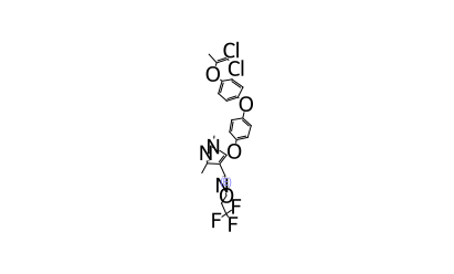 CC(Oc1ccc(Oc2ccc(Oc3c(/C=N/OCC(F)(F)F)c(C)nn3C)cc2)cc1)=C(Cl)Cl